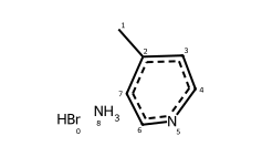 Br.Cc1ccncc1.N